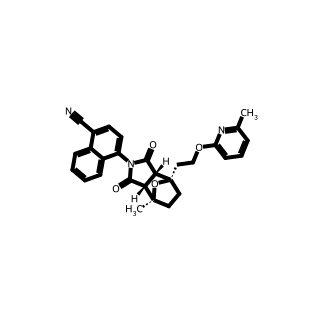 Cc1cccc(OCC[C@]23CC[C@](C)(O2)[C@@H]2C(=O)N(c4ccc(C#N)c5ccccc45)C(=O)[C@@H]23)n1